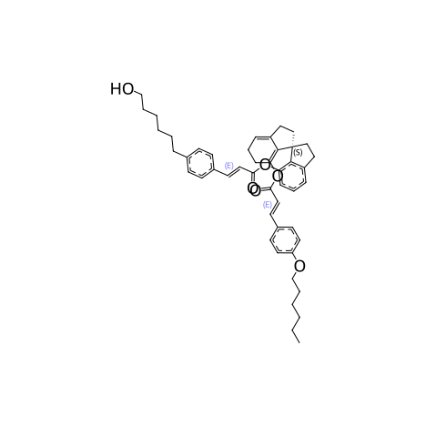 CCCCCCOc1ccc(/C=C/C(=O)OC2=C3C(=CCC2)CC[C@@]32CCc3cccc(OC(=O)/C=C/c4ccc(CCCCCCO)cc4)c32)cc1